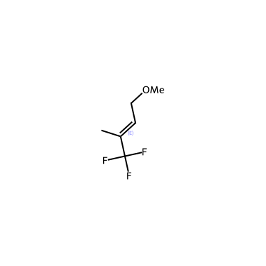 [CH2]OC/C=C(\C)C(F)(F)F